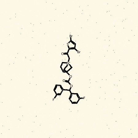 O=C(OC(c1cccc(F)c1)c1cccc(F)c1)OC1C[N+]2(CC(=O)c3sc(Br)cc3Br)CCC1CC2